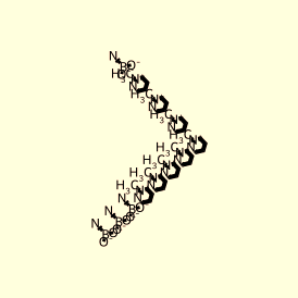 C[n+]1ccccn1.C[n+]1ccccn1.C[n+]1ccccn1.C[n+]1ccccn1.C[n+]1ccccn1.C[n+]1ccccn1.C[n+]1ccccn1.C[n+]1ccccn1.N#CB([O-])[O-].N#CB([O-])[O-].N#CB([O-])[O-].N#CB([O-])[O-]